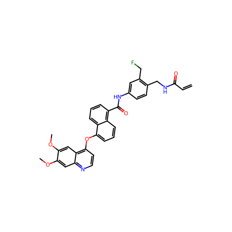 C=CC(=O)NCc1ccc(NC(=O)c2cccc3c(Oc4ccnc5cc(OC)c(OC)cc45)cccc23)cc1CF